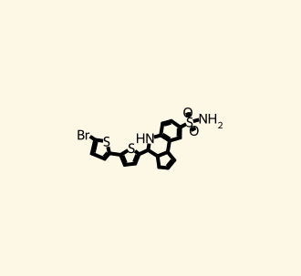 NS(=O)(=O)c1ccc2c(c1)C1C=CCC1C(c1ccc(-c3ccc(Br)s3)s1)N2